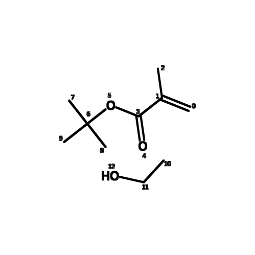 C=C(C)C(=O)OC(C)(C)C.CCO